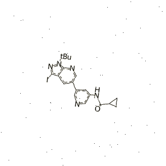 CC(C)(C)n1nc(I)c2cc(-c3cncc(NC(=O)C4CC4)c3)cnc21